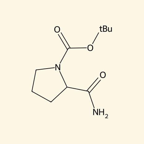 CC(C)(C)OC(=O)N1CCCC1C(N)=O